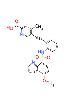 COc1ccc(S(=O)(=O)Nc2ccccc2C#Cc2cnc(C(=O)O)cc2C)c2ncccc12